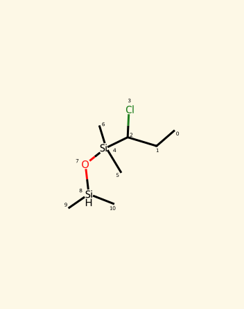 CCC(Cl)[Si](C)(C)O[SiH](C)C